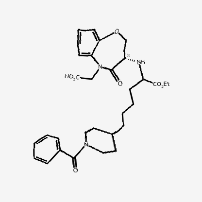 CCOC(=O)C(CCCCC1CCN(C(=O)c2ccccc2)CC1)N[C@H]1COc2ccccc2N(CC(=O)O)C1=O